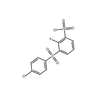 O=S(=O)(Cl)c1cccc(S(=O)(=O)c2ccc(Cl)cc2)c1F